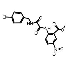 COC(=O)c1cc([N+](=O)[O-])ccc1NC(=O)C(=O)NCc1ccc(Cl)cc1